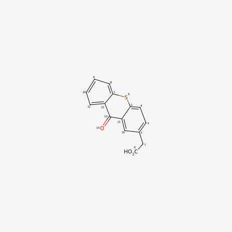 O=C(O)Cc1ccc2sc3ccccc3c(=O)c2c1